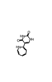 O=c1[nH]cc(C2=CC=CC=CN2)c(=O)[nH]1